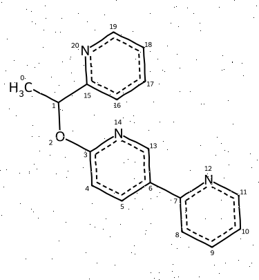 CC(Oc1ccc(-c2ccccn2)cn1)c1ccccn1